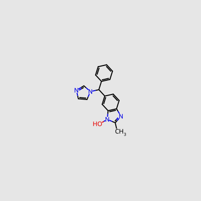 Cc1nc2ccc(C(c3ccccc3)n3ccnc3)cc2n1O